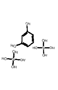 O[Si](O)(O)O.O[Si](O)(O)O.Oc1cccc(O)c1